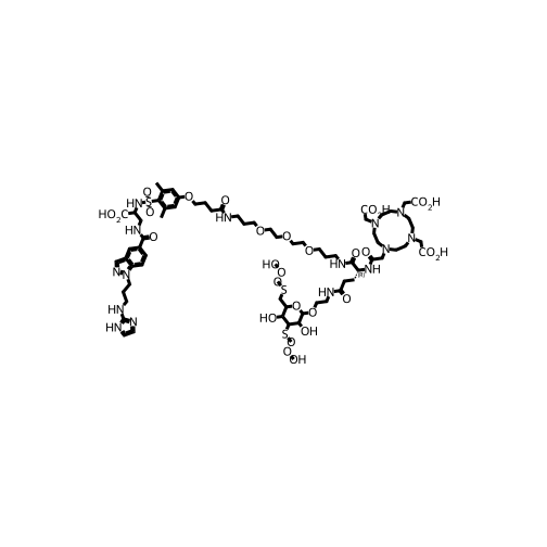 Cc1cc(OCCCC(=O)NCCCOCCOCCOCCCNC(=O)[C@@H](CCC(=O)NCCOC2OC(CSOOO)C(O)C(SOOO)C2O)NC(=O)CN2CCN(CC(=O)O)CCN(CC(=O)O)CCN(CC(=O)O)CC2)cc(C)c1S(=O)(=O)NC(CNC(=O)c1ccc2c(cnn2CCCNc2ncc[nH]2)c1)C(=O)O